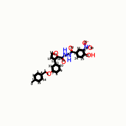 Cc1ccc(COc2cccc(-c3ccoc3C(=O)NNC(=O)c3ccc(O)c([N+](=O)[O-])c3)c2)cc1